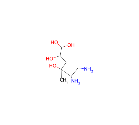 CC(O)(CC(O)C(O)O)C(N)CN